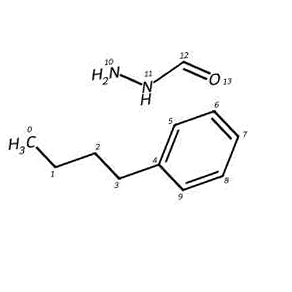 CCCCc1ccccc1.NNC=O